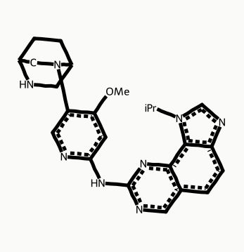 COc1cc(Nc2ncc3ccc4ncn(C(C)C)c4c3n2)ncc1N1CC2CCC1CN2